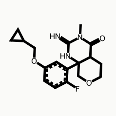 CN1C(=N)NC2(c3cc(OCC4CC4)ccc3F)COCCC2C1=O